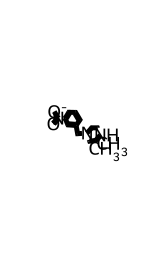 CC1(C)CN(Cc2cccc([N+](=O)[O-])c2)CCN1